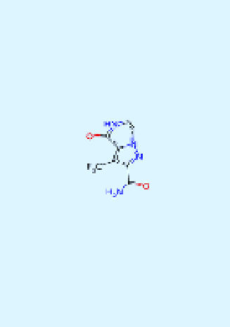 NC(=O)c1nn2cc[nH]c(=O)c2c1C(F)(F)F